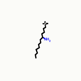 CCCCCCCCC(N)CCCC[Si](C)(C)C